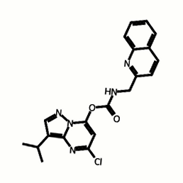 CC(C)c1cnn2c(OC(=O)NCc3ccc4ccccc4n3)cc(Cl)nc12